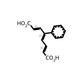 O=C(O)/C=C/C=C(/C=C/C(=O)O)c1ccccc1